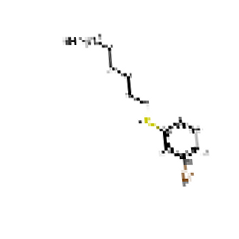 CCCCCCCCCCCCSc1cccc(Br)c1